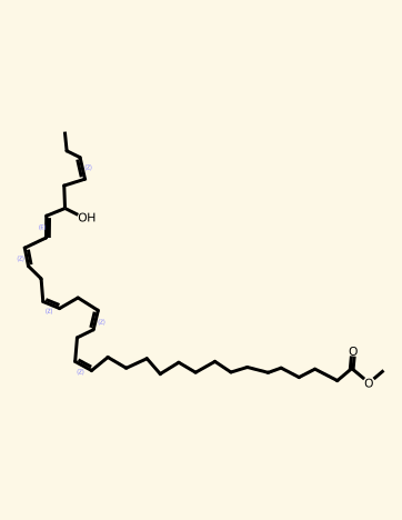 CC/C=C\CC(O)/C=C/C=C\C/C=C\C/C=C\C/C=C\CCCCCCCCCCCCCCC(=O)OC